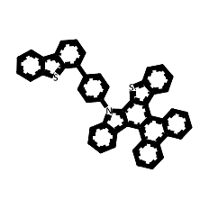 c1ccc2c(c1)sc1c(-c3ccc(-n4c5ccccc5c5c6c7ccccc7c7ccccc7c6c6c7ccccc7sc6c54)cc3)cccc12